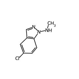 CNn1ncc2cc(Cl)ccc21